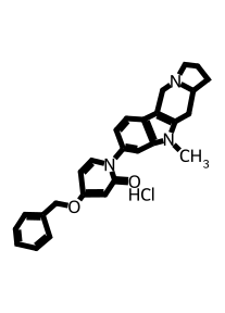 Cl.Cn1c2c(c3ccc(-n4ccc(OCc5ccccc5)cc4=O)cc31)CN1CCCC1C2